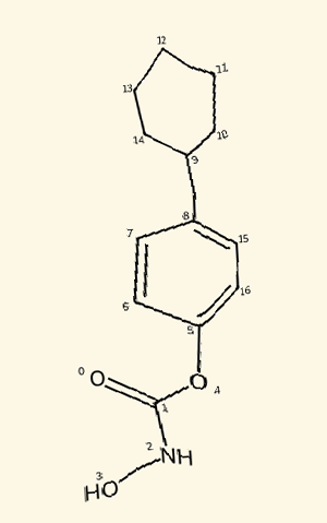 O=C(NO)Oc1ccc(C2CCCCC2)cc1